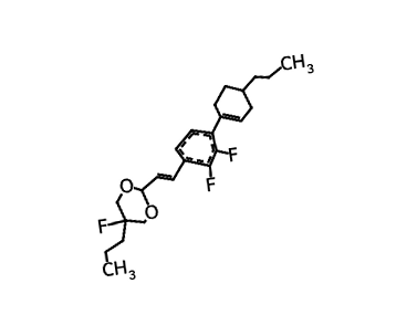 CCCC1CC=C(c2ccc(/C=C/C3OCC(F)(CCC)CO3)c(F)c2F)CC1